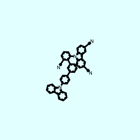 N#Cc1ccc2c(c1)c1cc(C#N)ccc1n2-c1cccc(C#N)c1-c1cccc(-c2ccc(-n3c4ccccc4c4ccccc43)cc2)c1